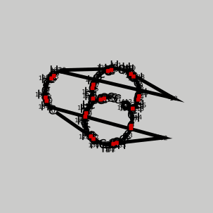 C1=C2CCC(=C1)[C@H]1CC3C[C@H](C1)[C@H]1CC[C@H](CC1)CSC[C@@H]1CC[C@@H](CC1)[C@H]1CC4CC(C1)[C@H]1CC[C@H](CC1)CSC[C@@H]1CC[C@@H](CC1)[C@H]1CC(C[C@H](C1)[C@H]1CC[C@H](CC1)CSC[C@@H]1CC[C@@H](CC1)C1CC(C[C@H](C1)[C@H]1CC[C@H](CC1)CSC2)[C@H]1CC[C@H](CC1)CSC[C@@H]1CC[C@H]4CC1)C1CCC(CC1)CSCC1CCC3CC1